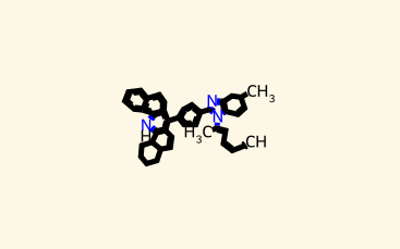 C#C/C=C\C=C(/C)n1c(-c2ccc(-c3c4c(nc5c3ccc3ccccc35)[C@@H]3CCCCC3C=C4)cc2)nc2c1C=CC(C)C2